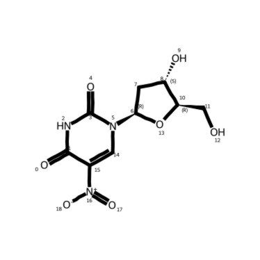 O=c1[nH]c(=O)n([C@H]2C[C@H](O)[C@@H](CO)O2)cc1[N+](=O)[O-]